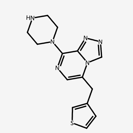 c1cc(Cc2cnc(N3CCNCC3)c3nncn23)cs1